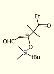 CCC(=O)C(C)(C)[C@H](CC=O)O[Si](C)(C)C(C)(C)C